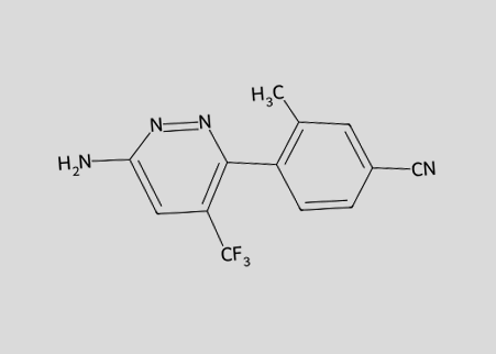 Cc1cc(C#N)ccc1-c1nnc(N)cc1C(F)(F)F